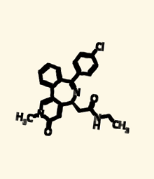 CCNC(=O)C[C@@H]1N=C(c2ccc(Cl)cc2)c2ccccc2-c2cn(C)c(=O)cc21